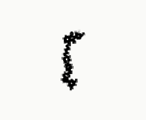 O=C1CCC(N2C(=O)c3cccc(OCCCCCN4CCN(c5ccc(Nc6ncc7ccc(-c8cc(F)cc(F)c8)n7n6)cn5)CC4)c3C2=O)C(=O)N1